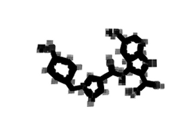 Bc1cnc2[nH]c(C(N)=O)c(NC(=O)c3cnn(Cc4ccc(OC)cc4)c3)c2c1